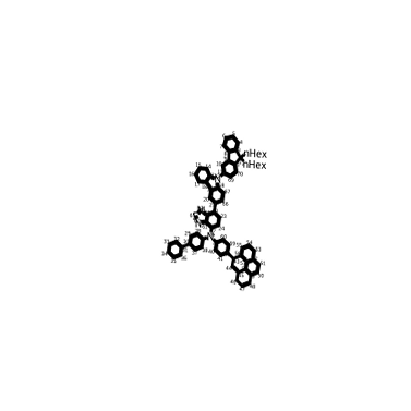 CCCCCCC1(CCCCCC)c2ccccc2-c2cc(-n3c4ccccc4c4cc(-c5ccc(N(c6ccc(-c7ccccc7)cc6)c6ccc(C7C=C8CC=Cc9ccc%10cccc7c%10c98)cc6)c6nsnc56)ccc43)ccc21